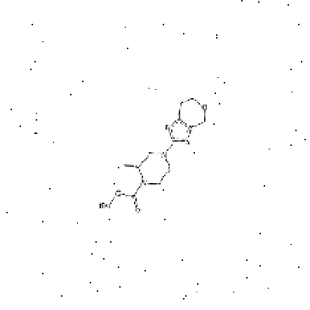 CC1CN(c2nc3c(s2)COCC3)CCN1C(=O)OC(C)(C)C